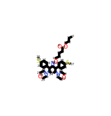 CCCCOC(=O)CCCCON=C(C(c1ccc(SC)cc1)C(C)N1CCOCC1)C(c1ccc(SC)cc1)C(C)N1CCOCC1